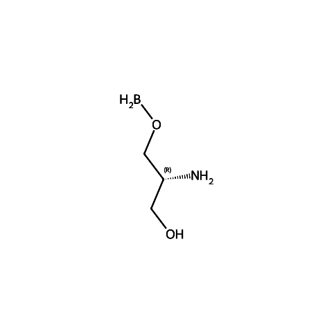 BOC[C@H](N)CO